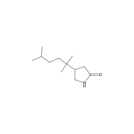 CC(C)CCC(C)(C)C1CNC(=O)C1